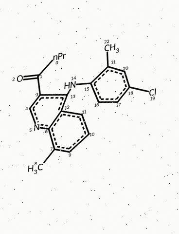 CCCC(=O)c1cnc2c(C)cccc2c1Nc1ccc(Cl)cc1C